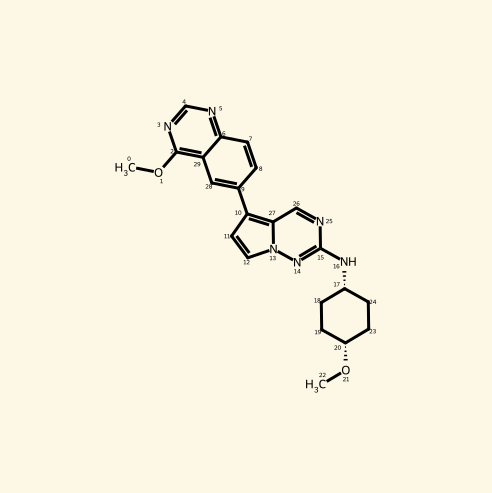 COc1ncnc2ccc(-c3ccn4nc(N[C@H]5CC[C@@H](OC)CC5)ncc34)cc12